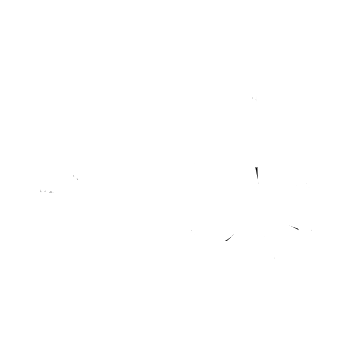 CO/N=C/COc1ccc(Cc2cc([C@@H]3O[C@H](COC(C)=O)[C@@H](OC(C)=O)[C@H](OC(C)=O)[C@H]3OC(C)=O)ccc2C#N)cc1